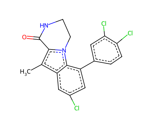 Cc1c2n(c3c(-c4ccc(Cl)c(Cl)c4)cc(Cl)cc13)CCNC2=O